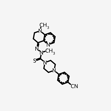 CN(/N=C1/CCN(C)c2cccnc21)C(=S)N1CCN(c2ccc(C#N)cc2)CC1